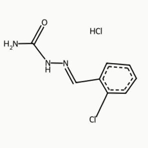 Cl.NC(=O)N/N=C/c1ccccc1Cl